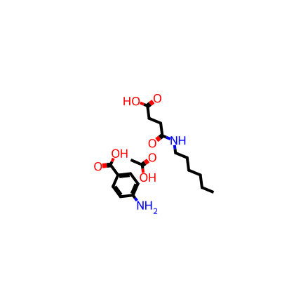 CC(=O)O.CCCCCCNC(=O)CCC(=O)O.Nc1ccc(C(=O)O)cc1